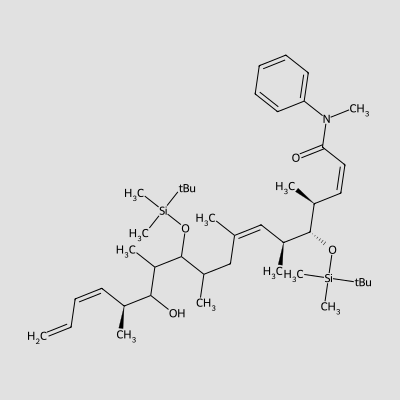 C=C/C=C\[C@H](C)C(O)C(C)C(O[Si](C)(C)C(C)(C)C)C(C)C/C(C)=C\[C@H](C)[C@@H](O[Si](C)(C)C(C)(C)C)[C@@H](C)/C=C\C(=O)N(C)c1ccccc1